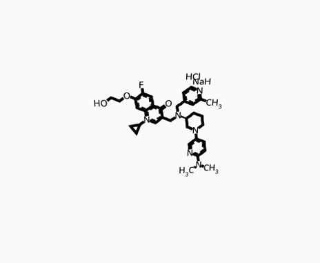 Cc1cc(CN(Cc2cn(C3CC3)c3cc(OCCO)c(F)cc3c2=O)[C@H]2CCCN(c3ccc(N(C)C)nc3)C2)ccn1.Cl.[NaH]